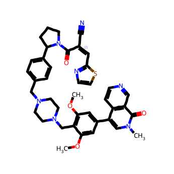 COc1cc(-c2cn(C)c(=O)c3cnccc23)cc(OC)c1CN1CCN(Cc2ccc(C3CCCN3C(=O)/C(C#N)=C\c3nccs3)cc2)CC1